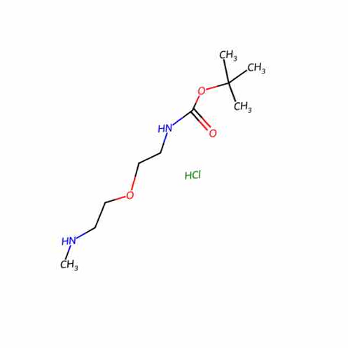 CNCCOCCNC(=O)OC(C)(C)C.Cl